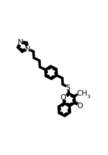 Cc1c(SCCc2ccc(CCCCn3ccnc3)cc2)oc2ccccc2c1=O